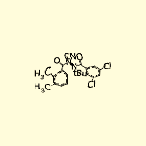 Cc1cccc(C(=O)N(C#N)N(C(=O)c2cc(Cl)cc(Cl)c2)C(C)(C)C)c1C